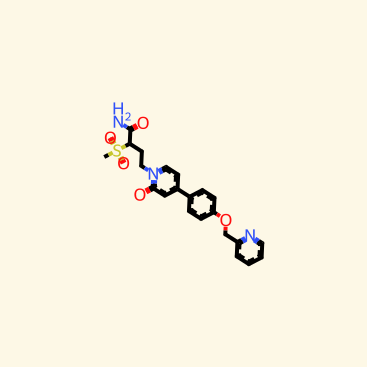 CS(=O)(=O)C(CCn1ccc(-c2ccc(OCc3ccccn3)cc2)cc1=O)C(N)=O